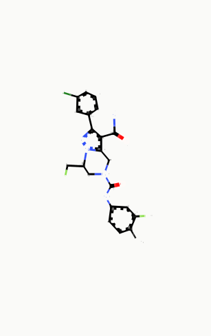 N#Cc1ccc(NC(=O)N2Cc3c(C(N)=O)c(-c4cccc(Cl)c4)nn3C(CF)C2)cc1F